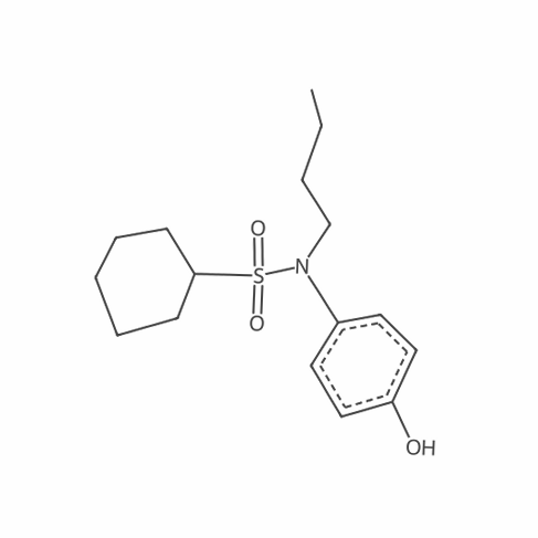 CCCCN(c1ccc(O)cc1)S(=O)(=O)C1CCCCC1